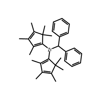 CC1=C(C)C(C)(C)[C]([Zr]([C]2=C(C)C(C)=C(C)C2(C)C)[CH](c2ccccc2)c2ccccc2)=C1C